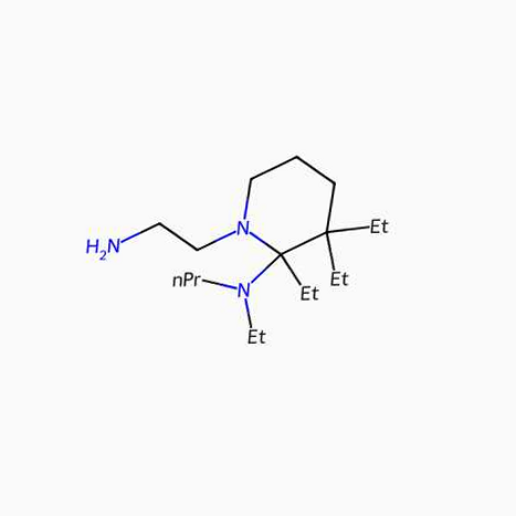 CCCN(CC)C1(CC)N(CCN)CCCC1(CC)CC